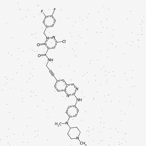 CN1CCC(N(C)c2ccc(Nc3ncc4cc(C#CCNC(=O)c5cc(Cl)nn(Cc6ccc(F)c(F)c6)c5=O)ccc4n3)cc2)CC1